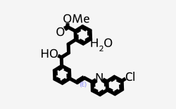 COC(=O)c1ccccc1CCC(O)c1cccc(/C=C/c2ccc3ccc(Cl)cc3n2)c1.O